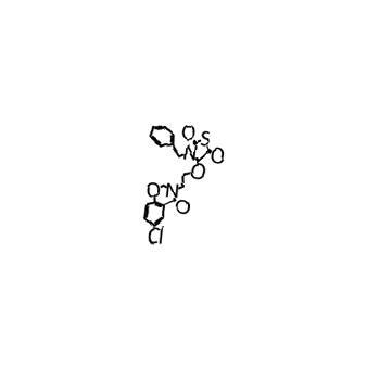 O=C1SC(=O)N(Cc2ccccc2)C1OCCN1COc2ccc(Cl)cc2C1=O